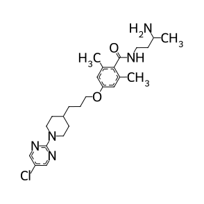 Cc1cc(OCCCC2CCN(c3ncc(Cl)cn3)CC2)cc(C)c1C(=O)NCCC(C)N